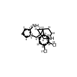 Nc1cccn1CC12CNCCC1(c1ccc(Cl)c(Cl)c1)C2